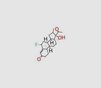 CC(=O)[C@@]1(O)C(C)C[C@H]2[C@@H]3CC(F)C4=CC(=O)CC[C@]4(C)[C@H]3CC[C@@]21C